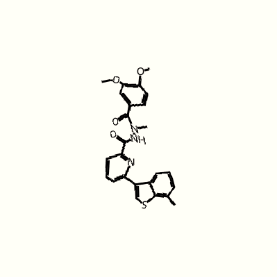 COc1ccc(C(=O)N(C)NC(=O)c2cccc(-c3csc4c(C)cccc34)n2)cc1OC